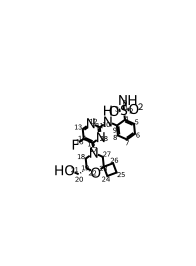 NS(=O)(=O)c1ccccc1Nc1ncc(F)c(N2C[C@@H](CO)OC3(CCC3)C2)n1